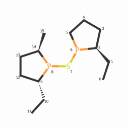 CC[C@@H]1CCCP1SP1[C@H](CC)CC[C@H]1C